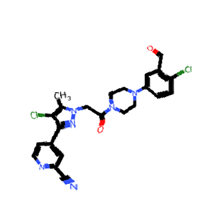 Cc1c(Cl)c(-c2ccnc(C#N)c2)nn1CC(=O)N1CCN(c2ccc(Cl)c(C=O)c2)CC1